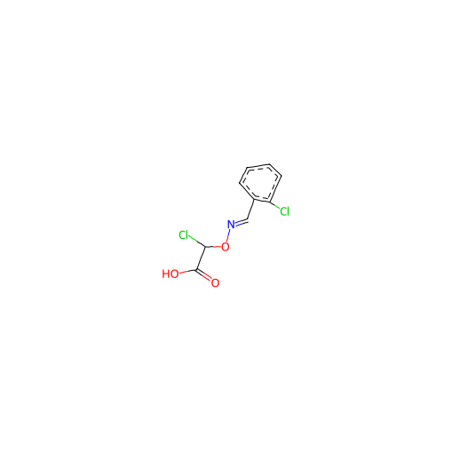 O=C(O)C(Cl)ON=Cc1ccccc1Cl